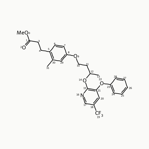 COC(=O)CCc1ccc(OCCC(C)Oc2ncc(C(F)(F)F)cc2Oc2ccccc2)cc1C